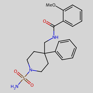 COc1ccccc1C(=O)NCC1(c2ccccc2)CCN(S(N)(=O)=O)CC1